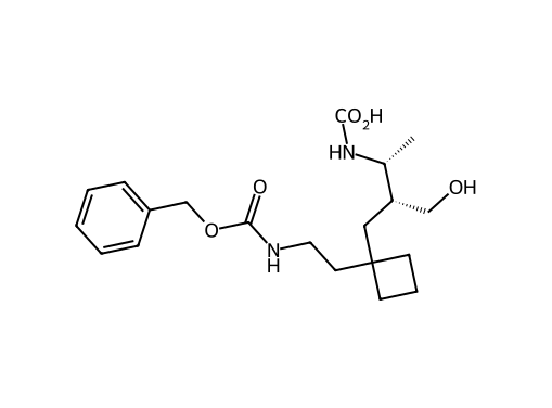 C[C@@H](NC(=O)O)[C@H](CO)CC1(CCNC(=O)OCc2ccccc2)CCC1